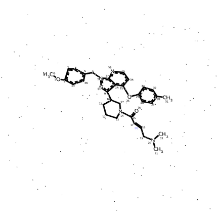 COc1ccc(Cn2nc(C3CCCN(C(=O)/C=C/CN(C)C)C3)c3c(Oc4ccc(C)cc4)ccnc32)cc1